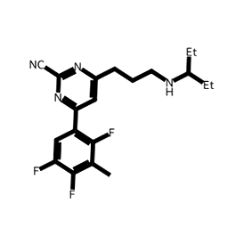 CCC(CC)NCCCc1cc(-c2cc(F)c(F)c(C)c2F)nc(C#N)n1